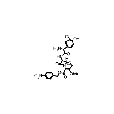 COC1=C(C(=O)OCc2ccc([N+](=O)[O-])cc2)N2C(=O)C(NC(=O)C(N)c3ccc(O)c(Cl)c3)[C@H]2SC1